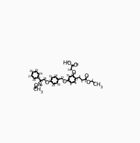 CCOC(=O)CCc1ccc(OCc2ccc(OCC(=NOC)c3ccccc3)cc2)cc1OCC(=O)O